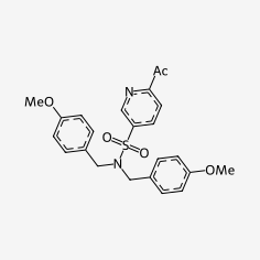 COc1ccc(CN(Cc2ccc(OC)cc2)S(=O)(=O)c2ccc(C(C)=O)nc2)cc1